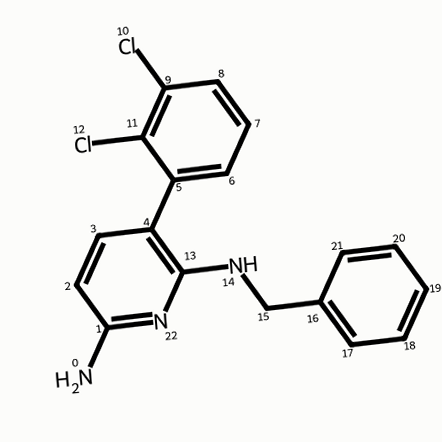 Nc1ccc(-c2cccc(Cl)c2Cl)c(NCc2ccccc2)n1